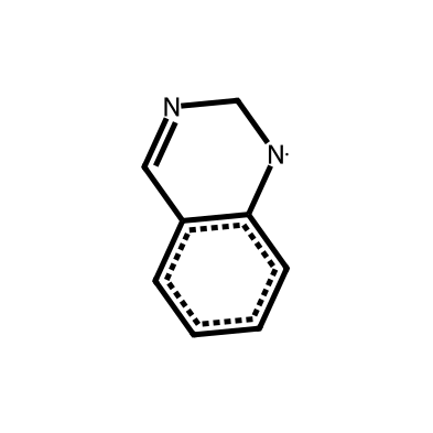 C1=NC[N]c2ccccc21